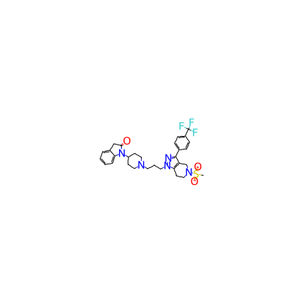 CS(=O)(=O)N1CCc2c(c(-c3ccc(C(F)(F)F)cc3)nn2CCCN2CCC(N3C(=O)Cc4ccccc43)CC2)C1